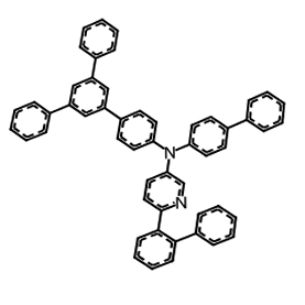 c1ccc(-c2ccc(N(c3ccc(-c4cc(-c5ccccc5)cc(-c5ccccc5)c4)cc3)c3ccc(-c4ccccc4-c4ccccc4)nc3)cc2)cc1